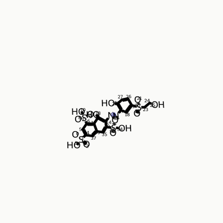 O=S(=O)(O)c1cc(S(=O)(=O)O)c2c(O)c(/N=N/c3cc(S(=O)(=O)CCO)ccc3O)c(S(=O)(=O)O)cc2c1